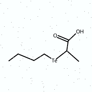 CCCC[Te]C(C)C(=O)O